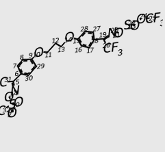 O=S(=O)(ON=C(c1ccc(OCCCOc2ccc(C(=NOSOOC(F)(F)F)C(F)(F)F)cc2)cc1)C(F)(F)F)C(F)(F)F